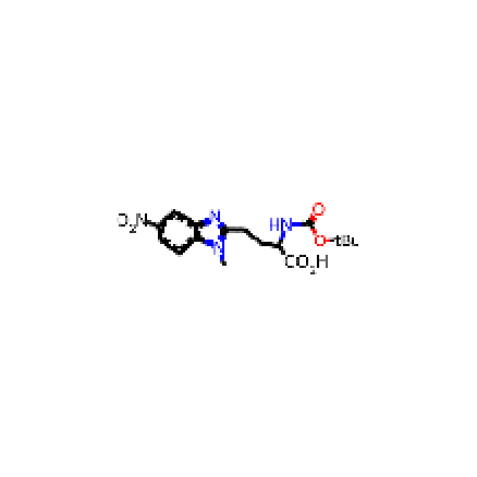 Cn1c(CCC(NC(=O)OC(C)(C)C)C(=O)O)nc2cc([N+](=O)[O-])ccc21